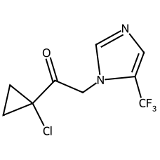 O=C(Cn1cncc1C(F)(F)F)C1(Cl)CC1